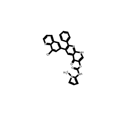 Cn1cccc1NC(=O)Oc1c[nH]c2nc(-c3ccccc3)c(-c3cc(Cl)c4ncccc4c3)cc2c1=O